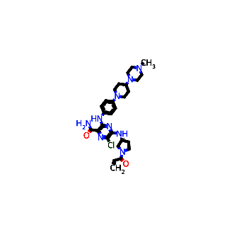 C=CC(=O)N1CC[C@@H](Nc2nc(Nc3ccc(N4CCC(N5CCN(C)CC5)CC4)cc3)c(C(N)=O)nc2Cl)C1